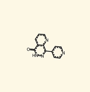 O=c1[nH]nc(-c2ccncc2)c2ncccc12